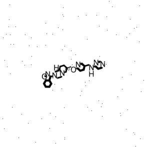 c1ccc2c(N3CCN4C[C@H](COc5ccc(CNc6ccncn6)cn5)CC[C@H]4C3)noc2c1